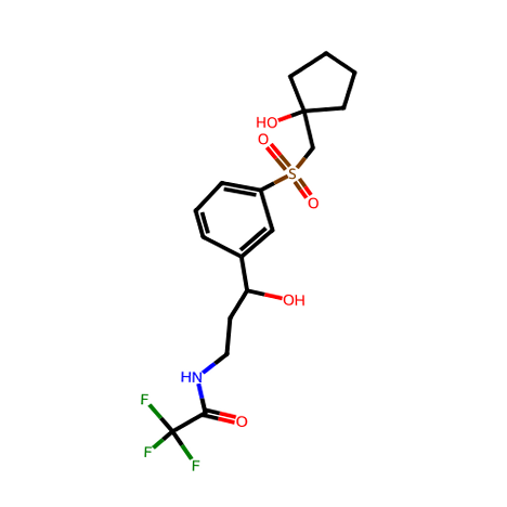 O=C(NCCC(O)c1cccc(S(=O)(=O)CC2(O)CCCC2)c1)C(F)(F)F